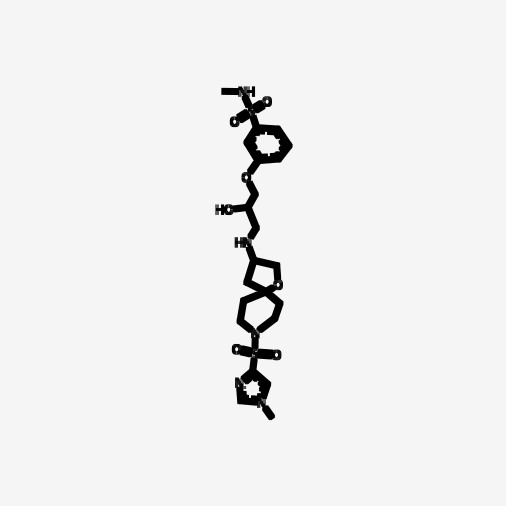 CNS(=O)(=O)c1cccc(OCC(O)CNC2COC3(CCN(S(=O)(=O)c4cn(C)cn4)CC3)C2)c1